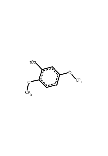 CC(C)(C)c1cc(OC(F)(F)F)ccc1OC(F)(F)F